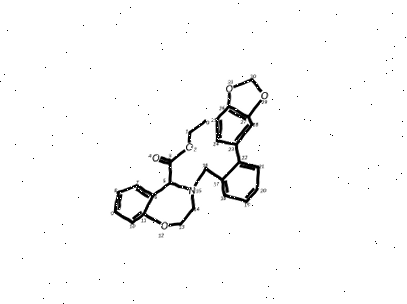 CCOC(=O)C1c2ccccc2OCCN1Cc1ccccc1-c1ccc2c(c1)OCO2